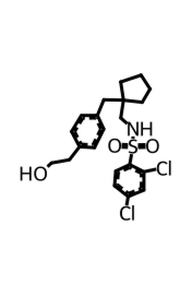 O=S(=O)(NCC1(Cc2ccc(CCO)cc2)CCCC1)c1ccc(Cl)cc1Cl